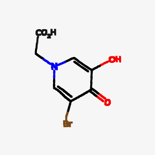 O=C(O)Cn1cc(O)c(=O)c(Br)c1